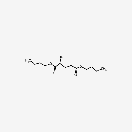 CCCCOC(=O)CCC(Br)C(=O)OCCCC